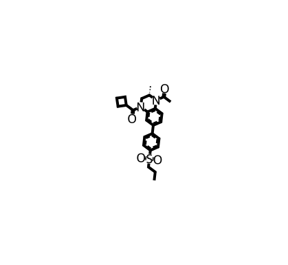 CCCS(=O)(=O)c1ccc(-c2ccc3c(c2)N(C(=O)C2CCC2)C[C@H](C)N3C(C)=O)cc1